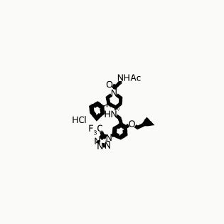 CC(=O)NCC(=O)N1CC[C@H](NCc2cc(-n3nnnc3C(F)(F)F)ccc2OCC2CC2)[C@H](c2ccccc2)C1.Cl